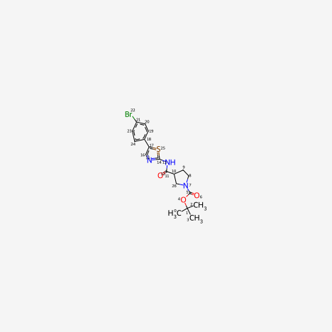 CC(C)(C)OC(=O)N1CCC(C(=O)Nc2ncc(-c3ccc(Br)cc3)s2)C1